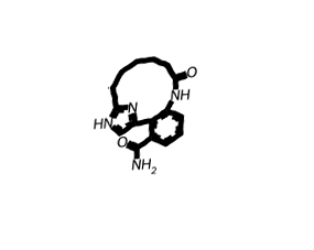 NC(=O)c1cccc2c1-c1c[nH]c(n1)[CH]CCCCC(=O)N2